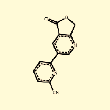 N#Cc1cccc(-c2cnc3c(c2)C(=O)OC3)n1